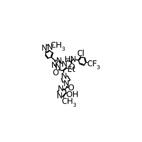 CCc1c(N2CCN(C(=O)c3ncnc(C)c3O)CC2)c(=O)n2nc(-c3ccc4ncn(C)c4c3)nc2n1CC(=O)Nc1ccc(C(F)(F)F)cc1Cl